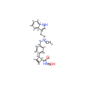 CN(CCc1c[nH]c2ccccc12)Cc1ccc(C2C#CC2C(=O)NO)cc1